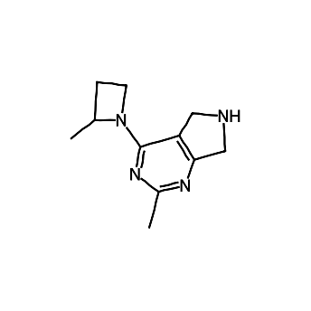 Cc1nc2c(c(N3CCC3C)n1)CNC2